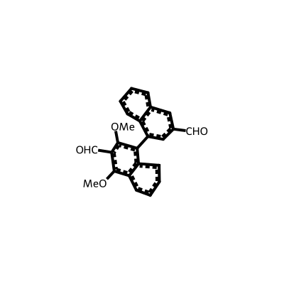 COc1c(C=O)c(OC)c2ccccc2c1-c1cc(C=O)cc2ccccc12